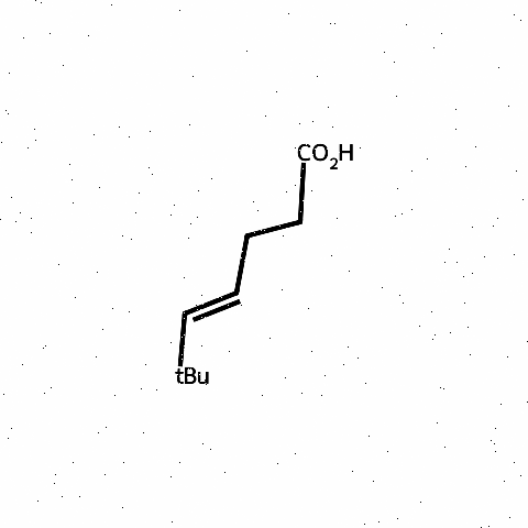 CC(C)(C)C=CCCC(=O)O